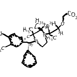 [2H]C([2H])(OCC(=O)O)C(C)(C)N1CCN([C@H](c2ccccc2)c2ccc(Cl)c(C)c2)C(C)(C)C1(C)C